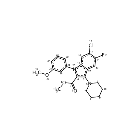 COC(=O)c1c(N2CCCCC2)c2cc(F)c(Cl)cc2n1-c1cccc(OC)c1